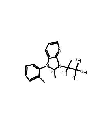 [2H]C([2H])([2H])C([2H])(C)N1c2ncccc2N(c2ccccc2C)[C@@H]1C